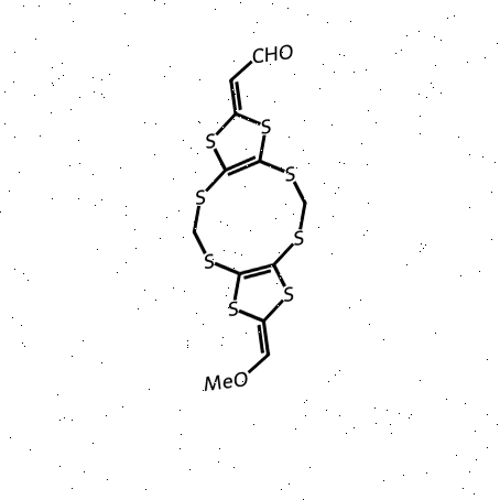 COC=C1SC2=C(SCSC3=C(SCS2)SC(=CC=O)S3)S1